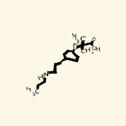 CCCNCCCc1ccc(OC(C)(C)C(=O)O)cc1